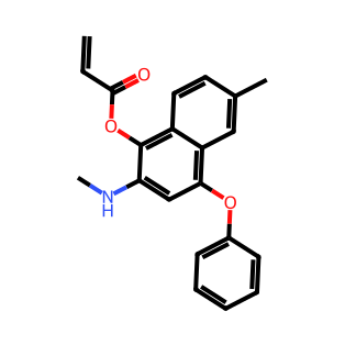 C=CC(=O)Oc1c(NC)cc(Oc2ccccc2)c2cc(C)ccc12